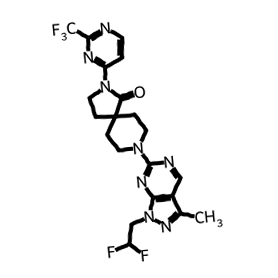 Cc1nn(CC(F)F)c2nc(N3CCC4(CC3)CCN(c3ccnc(C(F)(F)F)n3)C4=O)ncc12